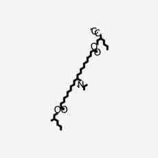 C=C=C=CC(CCCC)CCOC(=O)CCCCCCCCCC(CCCCCCCCCC(=O)OCCC(C)CCCC)CN(C)C(C)C